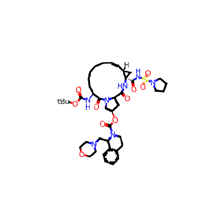 CC(C)(C)OC(=O)N[C@H]1CCCCC/C=C\[C@@H]2C[C@@]2(C(=O)NS(=O)(=O)N2CCCC2)NC(=O)C2C[C@@H](OC(=O)N3CCc4ccccc4C3CN3CCOCC3)CN2C1=O